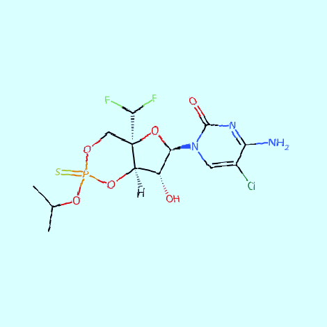 CC(C)OP1(=S)OC[C@@]2(C(F)F)O[C@@H](n3cc(Cl)c(N)nc3=O)[C@H](O)[C@H]2O1